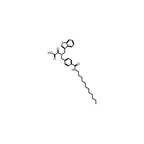 CCCCCCCCCCCCNC(=O)c1ccc(CN(Cc2csc3ccccc23)C(=O)C(=O)O)cc1